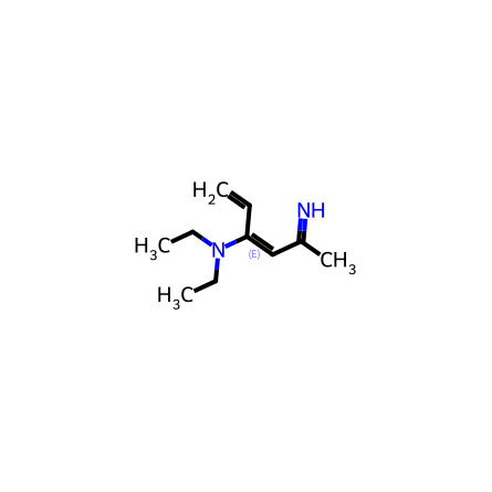 C=C/C(=C\C(C)=N)N(CC)CC